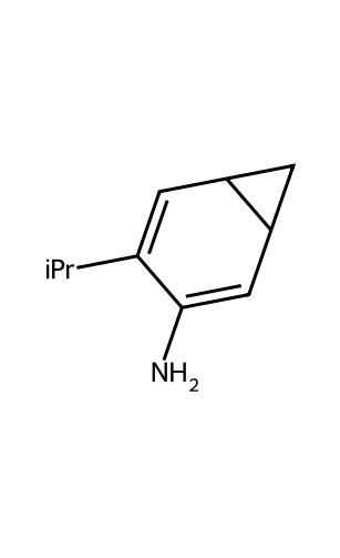 CC(C)C1=CC2CC2C=C1N